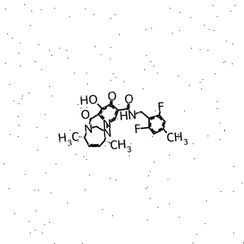 Cc1cc(F)c(CNC(=O)c2cn3c(c(O)c2=O)C(=O)N2CN3[C@H](C)C=C[C@@H]2C)c(F)c1